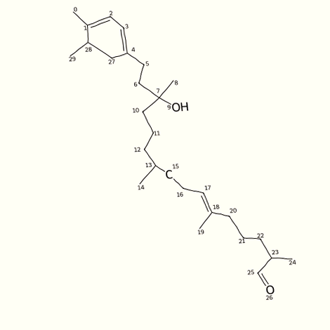 CC1=CC=C(CCC(C)(O)CCCC(C)CC/C=C(\C)CCCC(C)C=O)CC1C